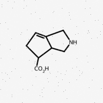 O=C(O)C1CC=C2CNCC21